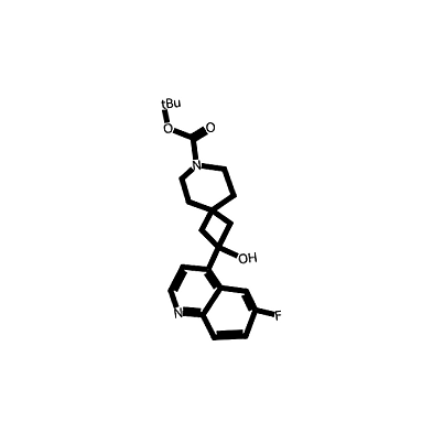 CC(C)(C)OC(=O)N1CCC2(CC1)CC(O)(c1ccnc3ccc(F)cc13)C2